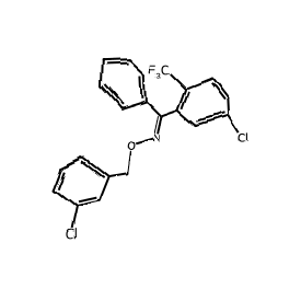 FC(F)(F)c1ccc(Cl)cc1/C(=N/OCc1cccc(Cl)c1)c1ccccc1